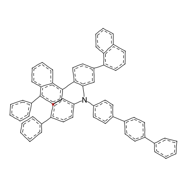 c1ccc(-c2ccc(-c3ccc(N(c4ccc(-c5ccccc5)cc4)c4cc(-c5cccc6ccccc56)ccc4-c4ccc(-c5ccccc5)c5ccccc45)cc3)cc2)cc1